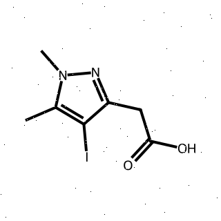 Cc1c(I)c(CC(=O)O)nn1C